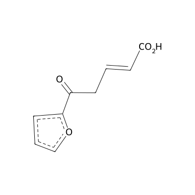 O=C(O)C=CCC(=O)c1ccco1